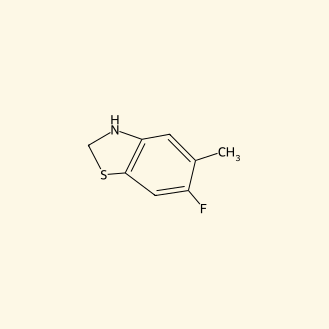 Cc1cc2c(cc1F)SCN2